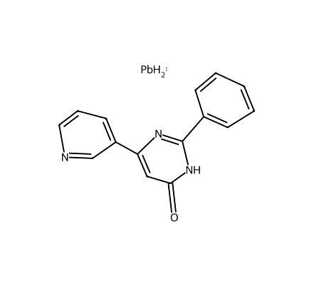 O=c1cc(-c2cccnc2)nc(-c2ccccc2)[nH]1.[PbH2]